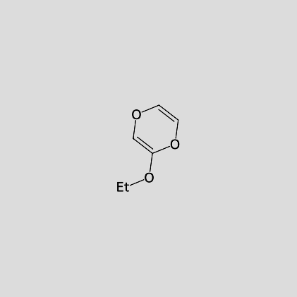 CCOC1=COC=CO1